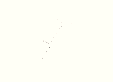 CCSCCCC(=N)NCCCC[C@H](N)C(=O)O